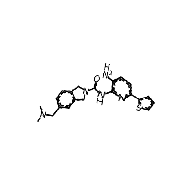 CN(C)Cc1ccc2c(c1)CN(C(=O)Nc1nc(-c3cccs3)ccc1N)C2